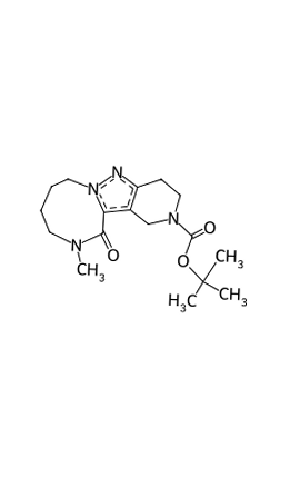 CN1CCCCn2nc3c(c2C1=O)CN(C(=O)OC(C)(C)C)CC3